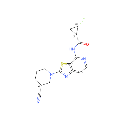 N#C[C@@H]1CCCN(c2nc3ccnc(NC(=O)[C@@H]4C[C@@H]4F)c3s2)C1